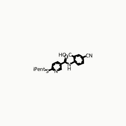 CCCC(C)Sc1ccc(C(=O)Nc2ccc(C#N)cc2C(=O)O)cn1